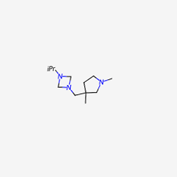 CC(C)N1CN(CC2(C)CCN(C)C2)C1